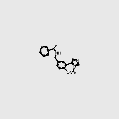 COc1ccc(CN[C@H](C)c2ccccc2)cc1-c1cncn1C